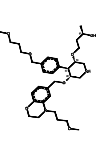 COCCCOCc1ccc([C@@H]2[C@@H](OCc3ccc4c(c3)N(CCCOC)CCO4)CNC[C@H]2OCC[C@@H](C)O)cc1